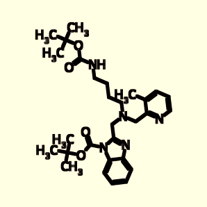 Cc1cccnc1CN(CCCCNC(=O)OC(C)(C)C)Cc1nc2ccccc2n1C(=O)OC(C)(C)C